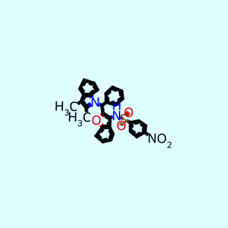 Cc1c(C)n(C(c2ccccc2)c2oc3ccccc3c2NS(=O)(=O)c2ccc([N+](=O)[O-])cc2)c2ccccc12